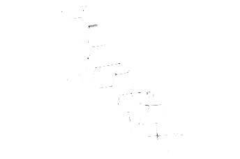 CO[C@H]1C[C@@]2(C)C3C[C@H](OC)[C@H]4C(C)(C)[C@@H](OC(=O)[C@@H](NCl)C(C)C)CC[C@@]45CC35CC[C@]2(C)[C@H]1[C@@]1(C)CC[C@@H](C(C)(C)OC)O1